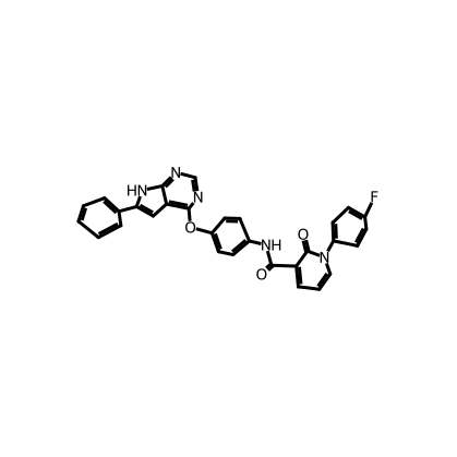 O=C(Nc1ccc(Oc2ncnc3[nH]c(-c4ccccc4)cc23)cc1)c1cccn(-c2ccc(F)cc2)c1=O